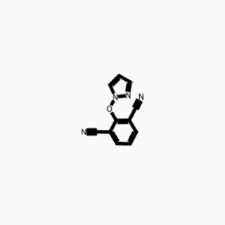 N#Cc1cccc(C#N)c1On1cc[c]n1